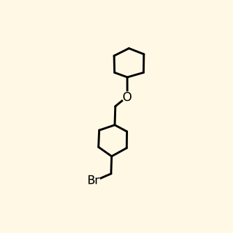 BrCC1CCC(COC2CCCCC2)CC1